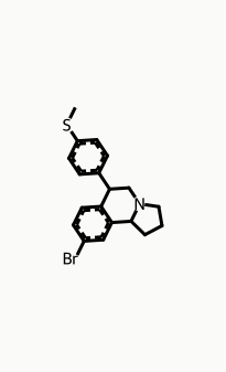 CSc1ccc(C2CN3CCCC3c3cc(Br)ccc32)cc1